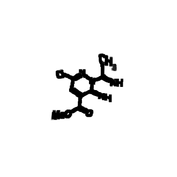 COC(=O)c1cc(Cl)nn(C(C)=N)c1=N